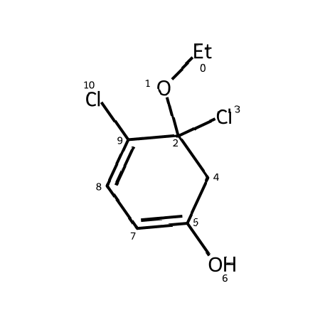 CCOC1(Cl)CC(O)=CC=C1Cl